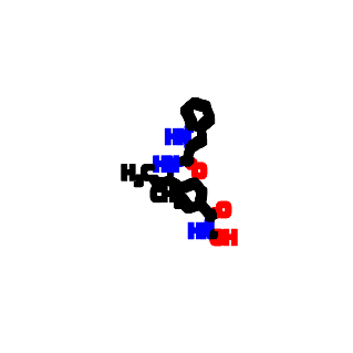 CC(C)[C@H](NC(=O)c1cc2ccccc2[nH]1)c1ccc(C(=O)NO)cc1